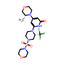 C[C@@H]1COCCN1c1cc(N2CCN(S(=O)(=O)N3CCOCC3)C[C@H]2C(F)(F)F)[nH]c(=O)c1